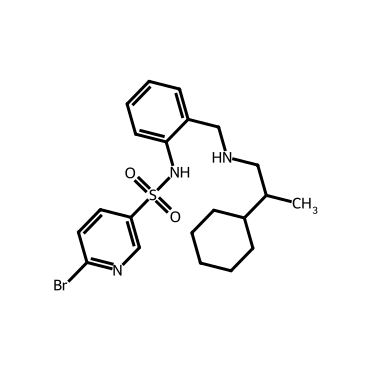 CC(CNCc1ccccc1NS(=O)(=O)c1ccc(Br)nc1)C1CCCCC1